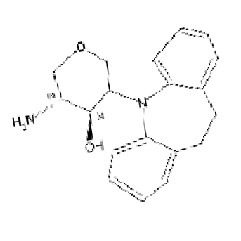 N[C@@H]1COCC(N2c3ccccc3CCc3ccccc32)[C@H]1O